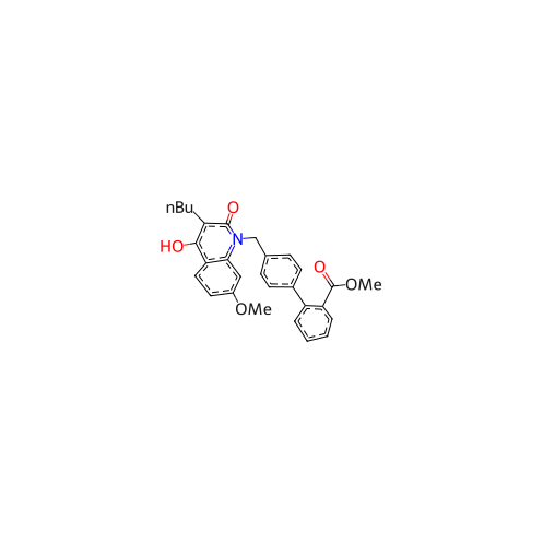 CCCCc1c(O)c2ccc(OC)cc2n(Cc2ccc(-c3ccccc3C(=O)OC)cc2)c1=O